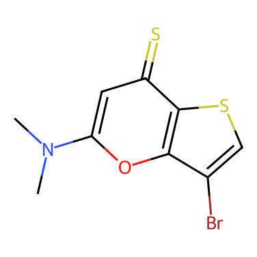 CN(C)c1cc(=S)c2scc(Br)c2o1